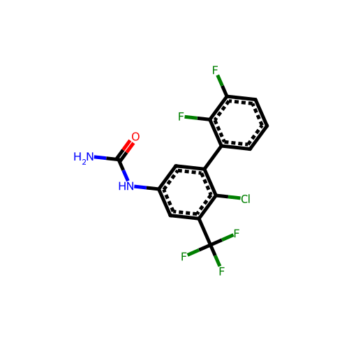 NC(=O)Nc1cc(-c2cccc(F)c2F)c(Cl)c(C(F)(F)F)c1